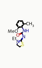 CCN1CCSC1=NC(=O)Nc1c(C)cccc1OC